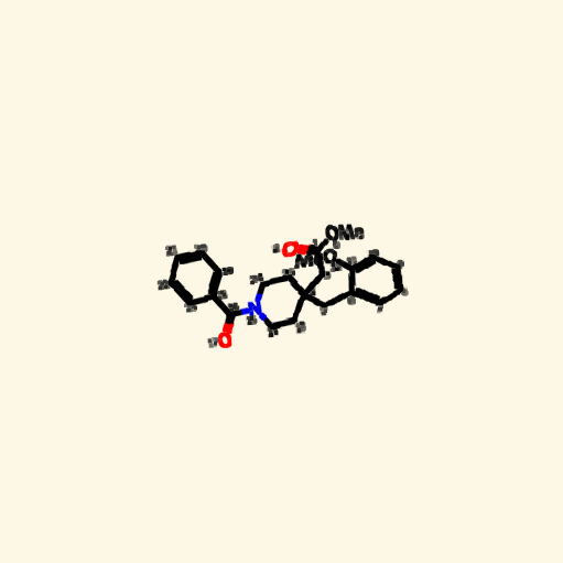 COC(=O)CC1(Cc2ccccc2OC)CCN(C(=O)c2ccccc2)CC1